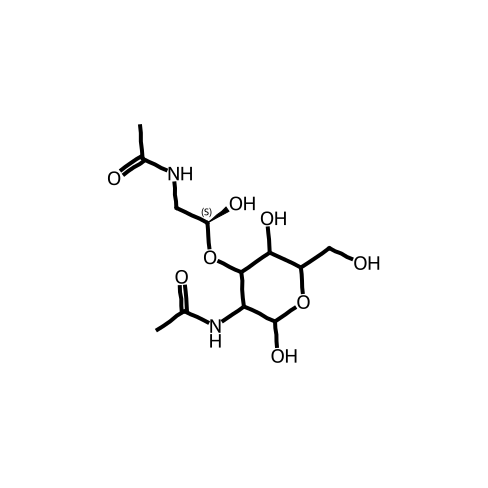 CC(=O)NC[C@@H](O)OC1C(O)C(CO)OC(O)C1NC(C)=O